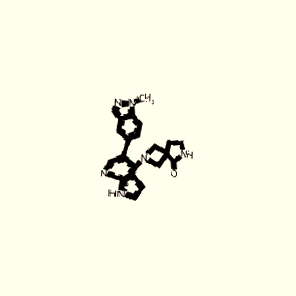 Cn1ncc2cc(-c3cnc4[nH]ccc4c3N3CC4(CCNC4=O)C3)ccc21